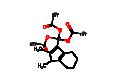 CCCC(=O)[O][Ti]([O]C(=O)CCC)([O]C(=O)CCC)[C]1=C(C)C(C)C2=C1CCCC2